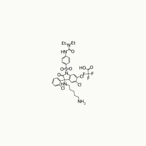 CCN(CC)C(=O)Nc1ccc(S(=O)(=O)N2C(=O)C(NCCCCCN)(c3ccccc3Cl)c3cc(Cl)c(Cl)cc32)cc1.O=C(O)C(F)(F)F